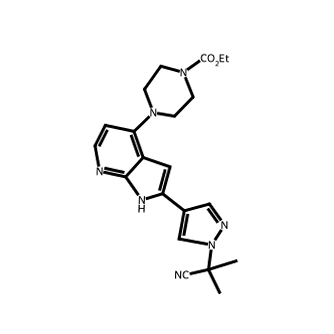 CCOC(=O)N1CCN(c2ccnc3[nH]c(-c4cnn(C(C)(C)C#N)c4)cc23)CC1